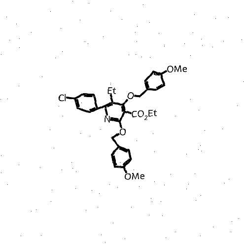 CCOC(=O)c1c(OCc2ccc(OC)cc2)nc(-c2ccc(Cl)cc2)c(CC)c1OCc1ccc(OC)cc1